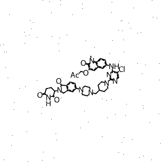 CC(=O)COc1cc2cc(Nc3nc(N4CCC(CN5CCN(c6ccc7c(c6)CN(C6CCC(=O)NC6=O)C7=O)CC5)CC4)ncc3Cl)ccc2n(C)c1=O